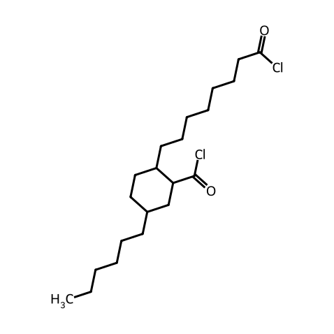 CCCCCCC1CCC(CCCCCCCC(=O)Cl)C(C(=O)Cl)C1